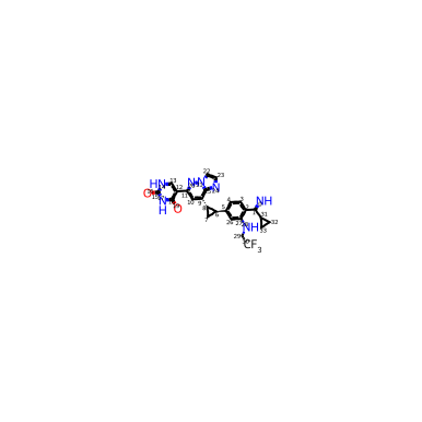 N=C(c1ccc([C@H]2C[C@@H]2c2cc(-c3c[nH]c(=O)[nH]c3=O)nn3ccnc23)cc1NCC(F)(F)F)C1CC1